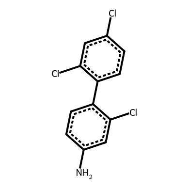 Nc1ccc(-c2ccc(Cl)cc2Cl)c(Cl)c1